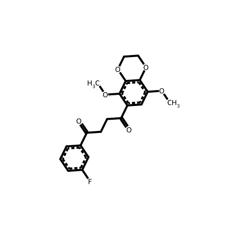 COc1cc(C(=O)CCC(=O)c2cccc(F)c2)c(OC)c2c1OCCO2